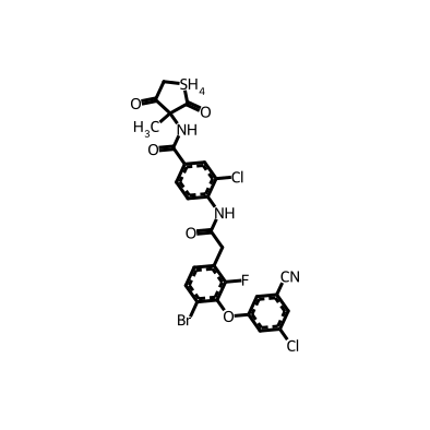 CC1(NC(=O)c2ccc(NC(=O)Cc3ccc(Br)c(Oc4cc(Cl)cc(C#N)c4)c3F)c(Cl)c2)C(=O)C[SH4]C1=O